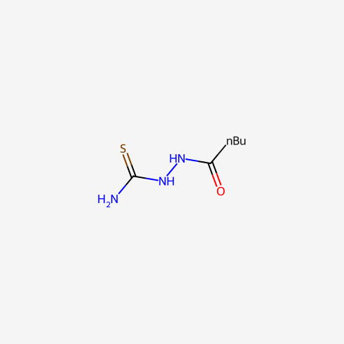 CCCCC(=O)NNC(N)=S